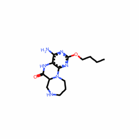 CCCCOc1nc(N)c2c(n1)N1CCCNCC1C(=O)N2